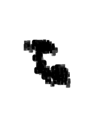 CC(C)(C)c1cc(COC(=O)CCC(=O)OOC(=O)CCC(=O)OCc2cc(C(C)(C)C)c(O)c(C(C)(C)C)c2)cc(C(C)(C)C)c1O